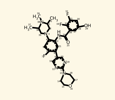 CC1CN(c2cc(F)c(-c3cnc(N4CCOCC4)nc3)cc2NC(=O)c2cc(O)cc(F)c2F)CC(C)N1C